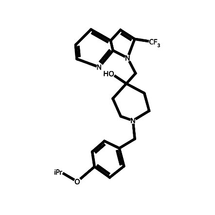 CC(C)Oc1ccc(CN2CCC(O)(Cn3c(C(F)(F)F)cc4cccnc43)CC2)cc1